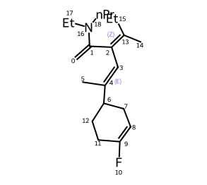 C=C(C(/C=C(\C)C1CC=C(F)CC1)=C(/C)CC)N(CC)CCC